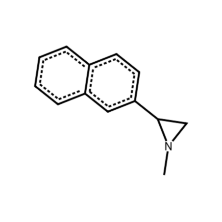 CN1CC1c1ccc2ccccc2c1